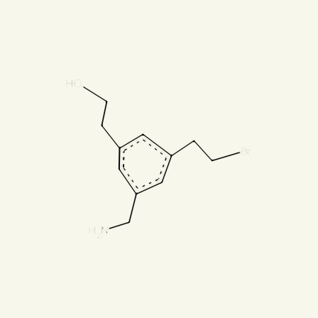 NCc1cc(CCO)cc(CCBr)c1